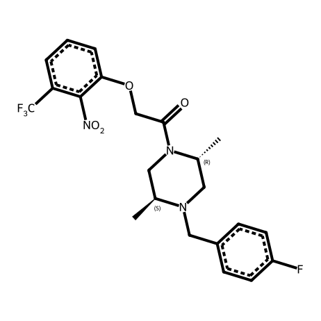 C[C@@H]1CN(Cc2ccc(F)cc2)[C@@H](C)CN1C(=O)COc1cccc(C(F)(F)F)c1[N+](=O)[O-]